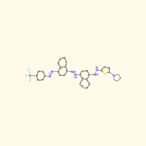 FC(F)(F)c1ccc(/N=N/c2ccc(NNc3ccc(NNc4ccc(N5CCCC5)s4)c4ccccc34)c3ccccc23)cc1